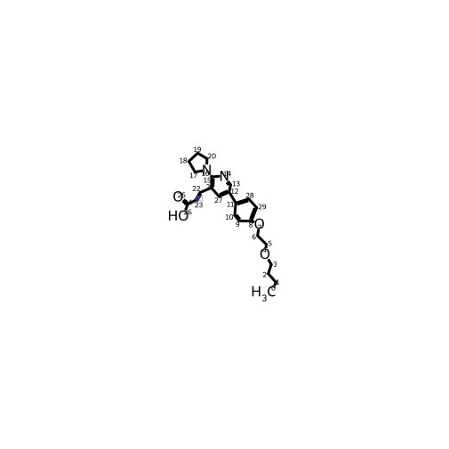 CCCCOCCOc1ccc(-c2cnc(N3CCCC3)c(/C=C/C(=O)O)c2)cc1